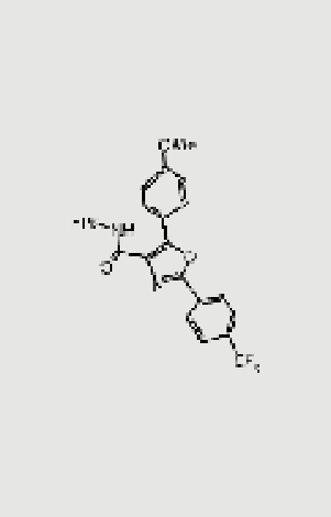 CCCNC(=O)c1nc(-c2ccc(C(F)(F)F)cc2)oc1-c1ccc(OC)cc1